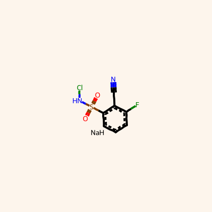 N#Cc1c(F)cccc1S(=O)(=O)NCl.[NaH]